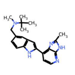 Cc1nc2c(-c3cc4cc(CN(C)C(C)(C)C)ccc4[nH]3)ccnc2[nH]1